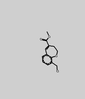 COC(=O)C1=Cc2cccc(CCl)c2OCC1